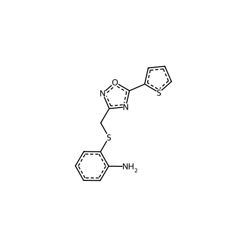 Nc1ccccc1SCc1noc(-c2cccs2)n1